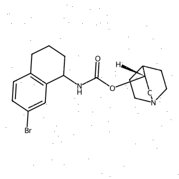 O=C(NC1CCCc2ccc(Br)cc21)O[C@H]1CN2CCC1CC2